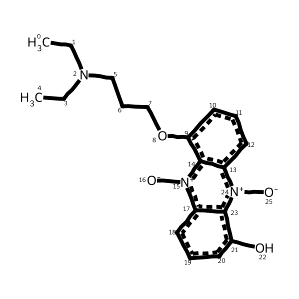 CCN(CC)CCCOc1cccc2c1[n+]([O-])c1cccc(O)c1[n+]2[O-]